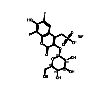 O=c1oc2c(F)c(O)c(F)cc2c(CS(=O)(=O)[O-])c1O[C@@H]1O[C@H](CO)[C@H](O)[C@H](O)[C@H]1O.[Na+]